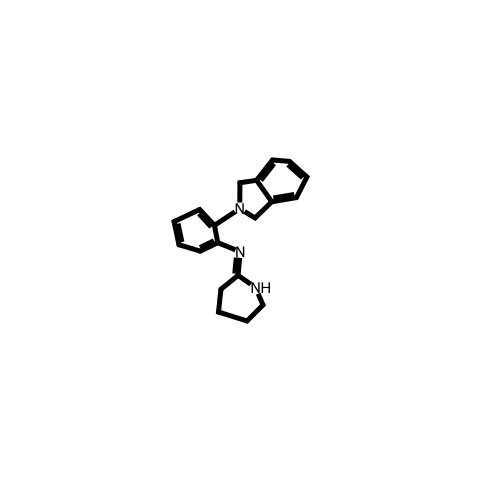 c1ccc2c(c1)CN(c1ccccc1/N=C1\CCCCN1)C2